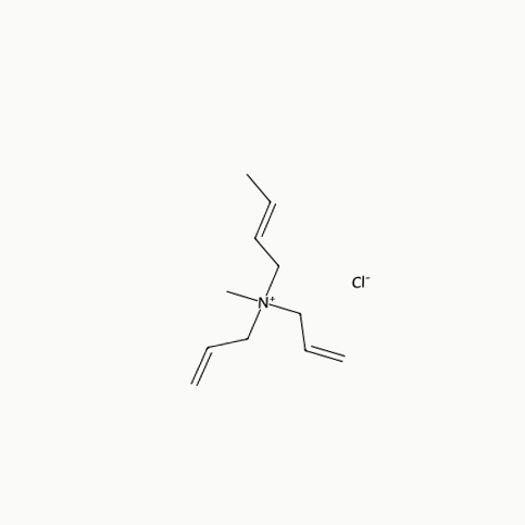 C=CC[N+](C)(CC=C)CC=CC.[Cl-]